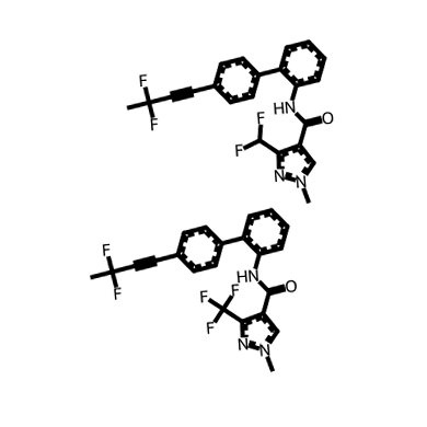 Cn1cc(C(=O)Nc2ccccc2-c2ccc(C#CC(C)(F)F)cc2)c(C(F)(F)F)n1.Cn1cc(C(=O)Nc2ccccc2-c2ccc(C#CC(C)(F)F)cc2)c(C(F)F)n1